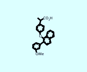 COc1cccc(-c2ccc3ccccc3c2Oc2ccc(C(C)C(=O)O)cc2)c1